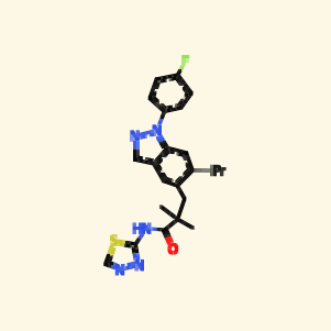 CC(C)c1cc2c(cnn2-c2ccc(F)cc2)cc1CC(C)(C)C(=O)Nc1nncs1